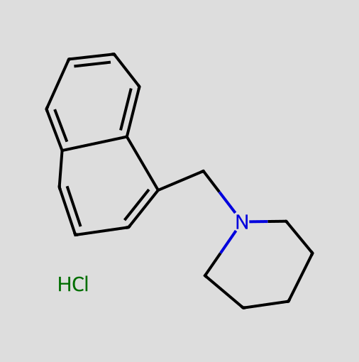 Cl.c1ccc2c(CN3CCCCC3)cccc2c1